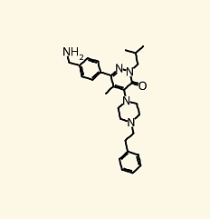 Cc1c(-c2ccc(CN)cc2)nn(CC(C)C)c(=O)c1N1CCN(CCc2ccccc2)CC1